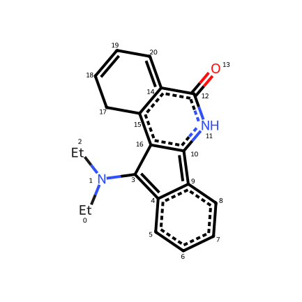 CCN(CC)C1=c2ccccc2=c2[nH]c(=O)c3c(c21)CC=CC=3